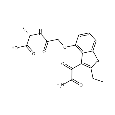 CCc1sc2cccc(OCC(=O)N[C@@H](C)C(=O)O)c2c1C(=O)C(N)=O